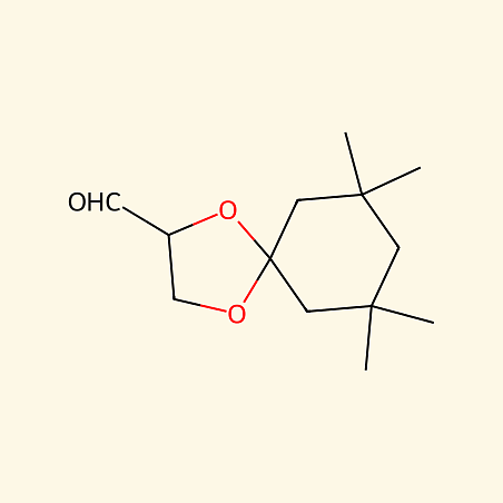 CC1(C)CC(C)(C)CC2(C1)OCC(C=O)O2